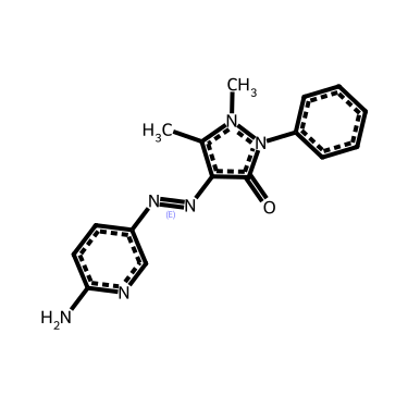 Cc1c(/N=N/c2ccc(N)nc2)c(=O)n(-c2ccccc2)n1C